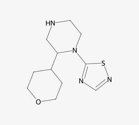 c1nsc(N2CCNCC2C2CCOCC2)n1